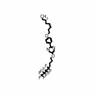 CCCC/C=C\CCOc1ccc(-c2ncc(OCCCCC(F)(F)C(F)(F)C(F)(F)C(F)(F)F)cn2)cc1